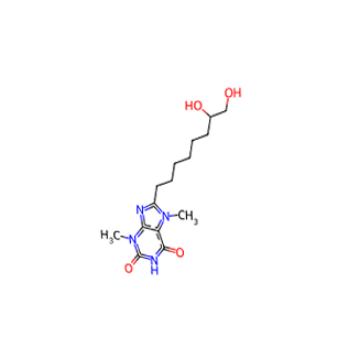 Cn1c(CCCCCCC(O)CO)nc2c1c(=O)[nH]c(=O)n2C